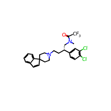 CN(C[C@@H](CCN1CCC2(C=Cc3ccccc32)CC1)c1ccc(Cl)c(Cl)c1)C(=O)C(F)(F)F